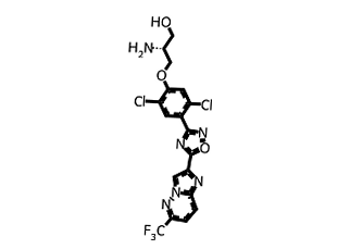 N[C@H](CO)COc1cc(Cl)c(-c2noc(-c3cn4nc(C(F)(F)F)ccc4n3)n2)cc1Cl